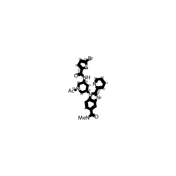 CNC(=O)c1ccc2c(c1)nc(-c1ccccn1)n2C1CC(NC(=O)c2ccc(Br)s2)CN(C(C)=O)C1